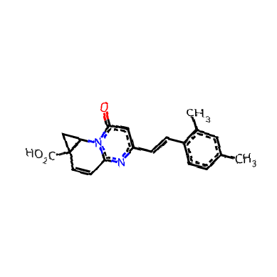 Cc1ccc(/C=C/c2cc(=O)n3c(n2)C=CC2(C(=O)O)CC32)c(C)c1